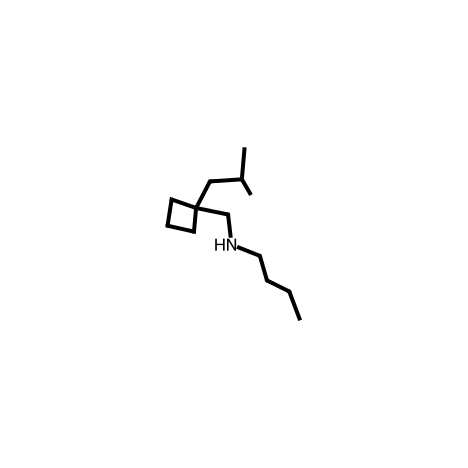 CCCCNCC1(CC(C)C)CCC1